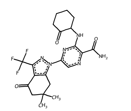 CC1(C)CC(=O)c2c(C(F)(F)F)nn(-c3cnc(C(N)=O)c(NC4CCCCC4=O)n3)c2C1